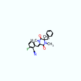 CN1C(=O)C(C)(Cc2ccccc2)N(C)C(=O)/C1=C/c1cccc(F)c1C#N